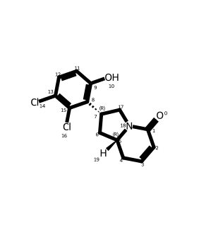 O=C1C=CC[C@@H]2C[C@H](c3c(O)ccc(Cl)c3Cl)CN12